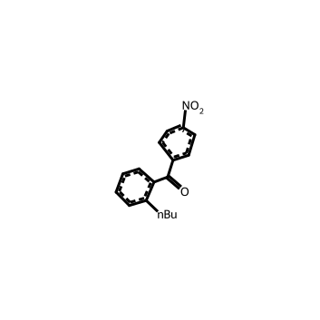 CCCCc1ccccc1C(=O)c1ccc([N+](=O)[O-])cc1